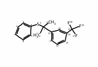 CC(C)(Sc1ccccc1)c1cccc(C(F)(F)F)c1